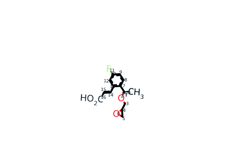 C[C@@H](OCC1CO1)c1ccc(F)cc1C=CC(=O)O